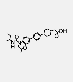 CCC(C)NC(=O)N1CC(C)Oc2cc(-c3ccc(C4CCC(CC(=O)O)CC4)cc3)ccc21